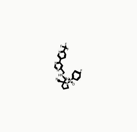 N#CC1(C(=O)NCc2cc(-c3ccc(C(F)(F)F)nc3)ncn2)CCCN1S(=O)(=O)c1ccc(F)cc1